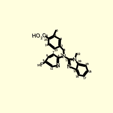 Cc1cc(CN(c2ccc(F)cn2)c2nc3ccccc3n2C)ccc1C(=O)O